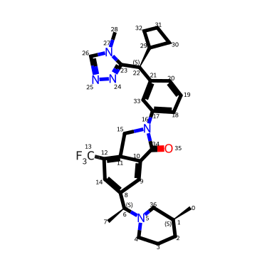 C[C@H]1CCCN([C@@H](C)c2cc3c(c(C(F)(F)F)c2)CN(c2cccc([C@@H](c4nncn4C)C4CCC4)c2)C3=O)C1